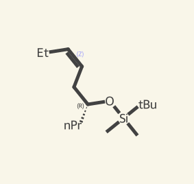 CC/C=C\C[C@@H](CCC)O[Si](C)(C)C(C)(C)C